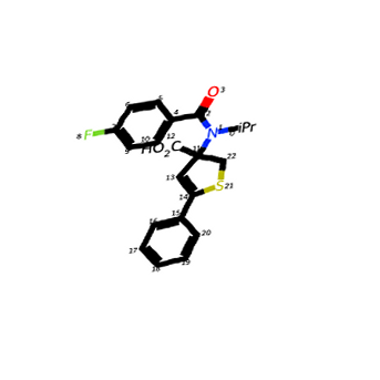 CC(C)N(C(=O)c1ccc(F)cc1)C1(C(=O)O)C=C(c2ccccc2)SC1